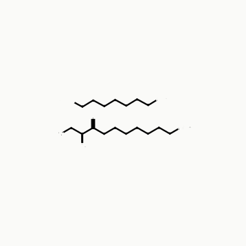 CCCCCCCCCCCCCCCCCC(=O)C(O)CN.CCCCCCCCCCCCCCCCCC(=O)O